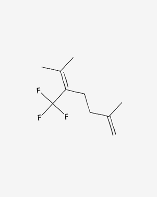 C=C(C)CCC(=C(C)C)C(F)(F)F